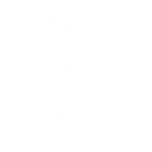 CCc1cc(-c2noc(-c3cc(CCC(C)C)nc(OC)c3)n2)cc(C)c1CN[SH](=O)=O